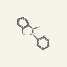 CC(C)(C)c1ccccc1N(Nc1ccccc1)C(C)(C)C